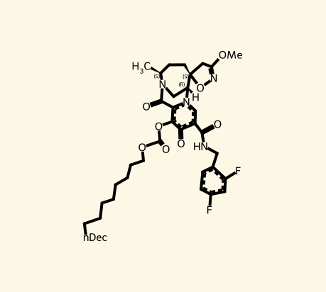 CCCCCCCCCCCCCCCCCCOC(=O)Oc1c2n(cc(C(=O)NCc3ccc(F)cc3F)c1=O)[C@@H]1CN(C2=O)[C@@H](C)CC[C@]12CC(OC)=NO2